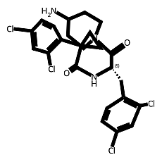 NC1CCN(C(=O)[C@H](Cc2ccc(Cl)cc2Cl)NC(=O)C2(c3ccc(Cl)cc3Cl)CC2)CC1